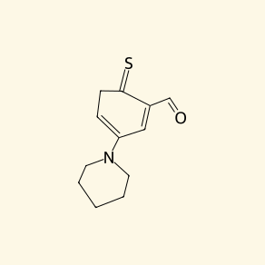 O=CC1=CC(N2CCCCC2)=CCC1=S